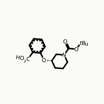 CC(C)(C)OC(=O)N1CCC[C@H](Oc2ccccc2C(=O)O)C1